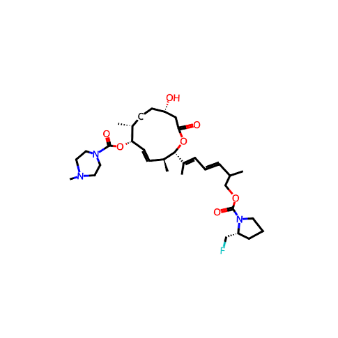 C/C(=C\C=C\C(C)COC(=O)N1CCC[C@@H]1CF)[C@H]1OC(=O)C[C@@H](O)CC[C@@H](C)[C@@H](OC(=O)N2CCN(C)CC2)/C=C/[C@@H]1C